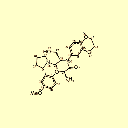 COc1ccc(O[C@H](C)C(=O)N(c2ccc3c(c2)OCCO3)[C@H](CO)CN2CCCC2)cc1